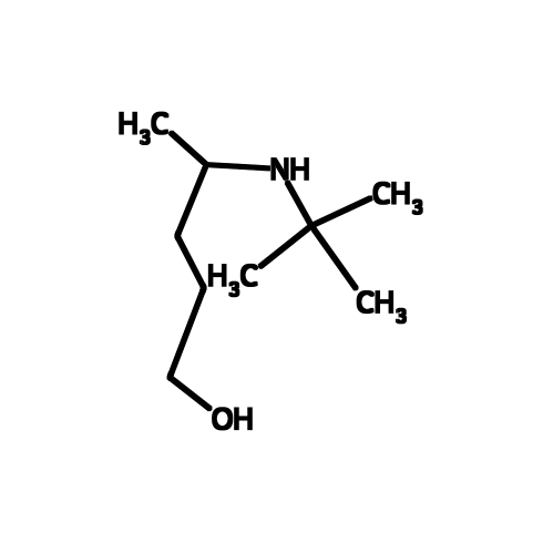 CC(CCCO)NC(C)(C)C